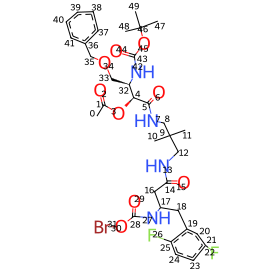 CC(=O)O[C@H](C(=O)NCC(C)(C)CNC(=O)CC(Cc1cc(F)ccc1F)NC(=O)OBr)[C@@H](COCc1ccccc1)NC(=O)OC(C)(C)C